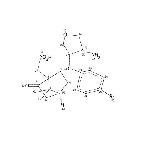 CC1(C)[C@H]2CCC1(CS(=O)(=O)O)C(=O)C2.N[C@H]1COCC1Oc1ccc(Br)cc1